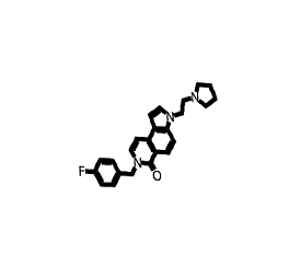 O=c1c2ccc3c(ccn3CCN3CCCC3)c2ccn1Cc1ccc(F)cc1